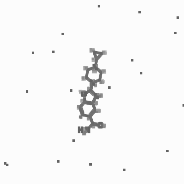 NC(=O)c1ccc2oc(N3CCN(C4CC4)CC3)nc2c1